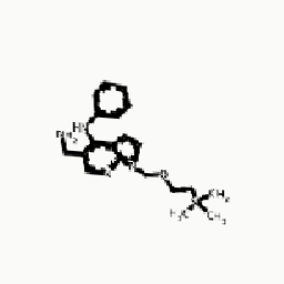 C[Si](C)(C)CCOCn1ccc2c(Nc3ccccc3)c(CN)cnc21